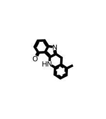 Cc1cccc2c1CC1=NC3=CC=CC(=O)C3=C1N2